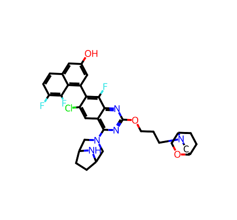 Oc1cc(-c2c(Cl)cc3c(N4CC5CCC(C4)N5)nc(OCCCN4CC5CCC4CO5)nc3c2F)c2c(F)c(F)ccc2c1